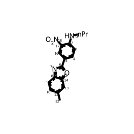 CCCNc1ccc(-c2nc3ccc(C)cc3o2)cc1[N+](=O)[O-]